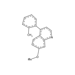 CCC(C)Oc1ccc2c(-c3ccccc3C)ccnc2c1